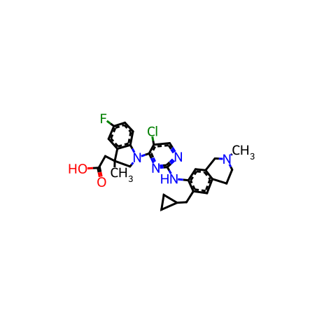 CN1CCc2cc(CC3CC3)c(Nc3ncc(Cl)c(N4CC(C)(CC(=O)O)c5cc(F)ccc54)n3)cc2C1